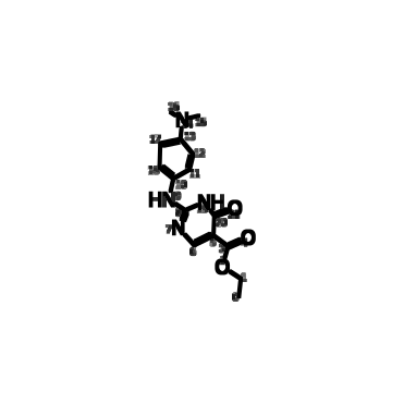 CCOC(=O)c1cnc(Nc2ccc(N(C)C)cc2)[nH]c1=O